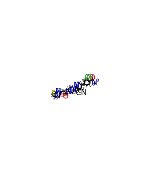 CN(C)C(=O)c1ccc(-c2cnc(N3CCN(C(=O)Cc4cn5ccsc5n4)CC3)c(C#N)c2)cc1Cl